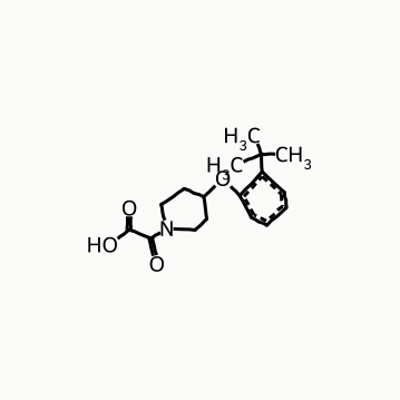 CC(C)(C)c1ccccc1OC1CCN(C(=O)C(=O)O)CC1